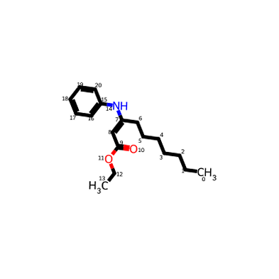 CCCCCCCC(=CC(=O)OCC)Nc1ccccc1